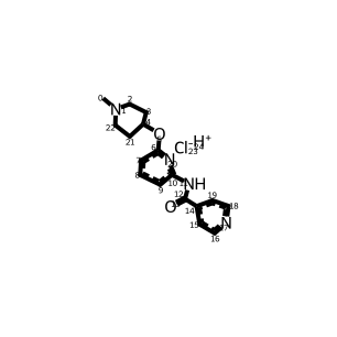 CN1CCC(Oc2cccc(NC(=O)c3ccncc3)n2)CC1.[Cl-].[H+]